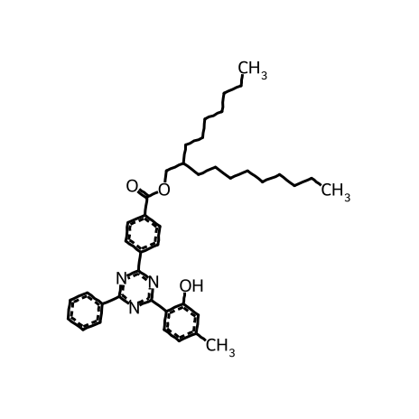 CCCCCCCCCC(CCCCCCC)COC(=O)c1ccc(-c2nc(-c3ccccc3)nc(-c3ccc(C)cc3O)n2)cc1